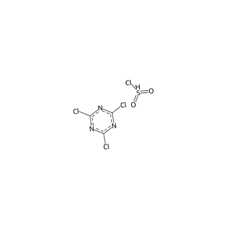 Clc1nc(Cl)nc(Cl)n1.O=[SH](=O)Cl